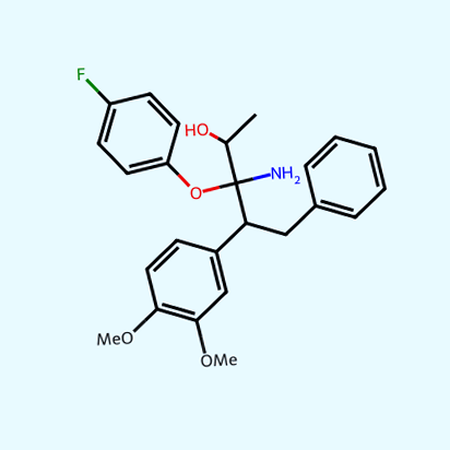 COc1ccc(C(Cc2ccccc2)C(N)(Oc2ccc(F)cc2)C(C)O)cc1OC